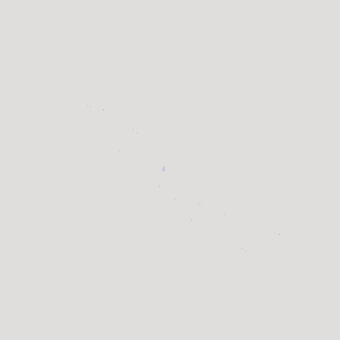 COc1nccc2c(-n3ncc(C(=O)Nc4cnc(-c5cc(C(C)=O)n(C)n5)c(Cl)c4)c3C(F)(F)F)cccc12